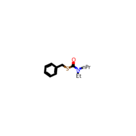 CCCN(CC)C(=O)SCc1ccccc1